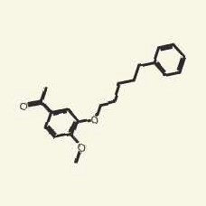 COc1ccc(C(C)=O)cc1OCCCCCc1ccccc1